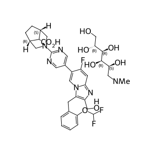 CNC[C@H](O)[C@@H](O)[C@H](O)[C@H](O)CO.O=C(O)C1[C@@H]2CC[C@H]1CN(c1ncc(-c3cn4c(Cc5ccccc5OC(F)F)c(CO)nc4cc3F)cn1)C2